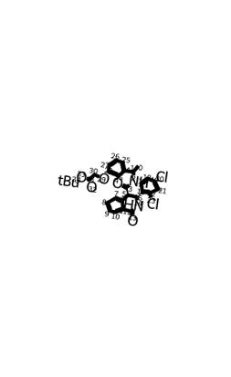 CC(NC(=O)[C@@H]1c2ccccc2C(=O)N[C@H]1c1ccc(Cl)cc1Cl)c1cccc(OCC(=O)OC(C)(C)C)c1